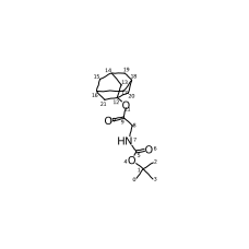 CC(C)(C)OC(=O)NCC(=O)OC12CC3CC(CC(C3)C1)C2